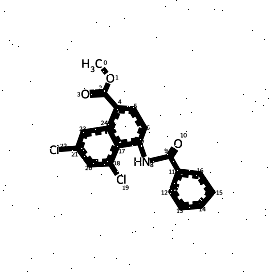 COC(=O)c1ccc(NC(=O)c2ccccc2)c2c(Cl)cc(Cl)cc12